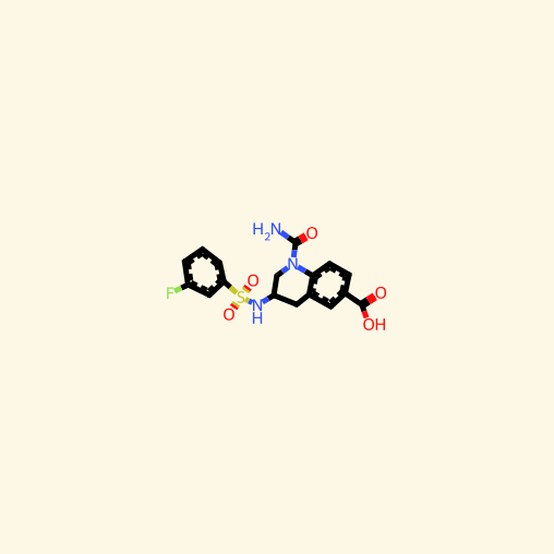 NC(=O)N1CC(NS(=O)(=O)c2cccc(F)c2)Cc2cc(C(=O)O)ccc21